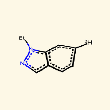 [2H]c1ccc2cnn(CC)c2c1